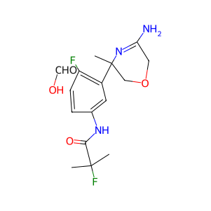 CC(C)(F)C(=O)Nc1ccc(F)c(C2(C)COCC(N)=N2)c1.O=CO